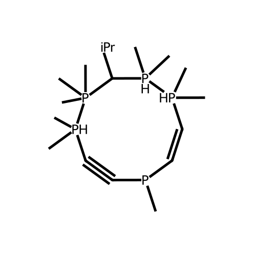 CC(C)C1[PH](C)(C)[PH](C)(C)/C=C\P(C)C#C[PH](C)(C)P1(C)(C)C